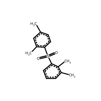 Cc1ccc(S(=O)(=O)c2cccc(C)c2C)c(C)c1